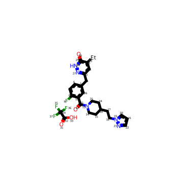 CCc1cc(Cc2ccc(F)c(C(=O)N3CCC(CCn4cccn4)CC3)c2)n[nH]c1=O.O=C(O)C(F)(F)F